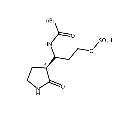 CCCCC(=O)NC(CCOS(=O)(=O)O)[C@@H]1CCNC1=O